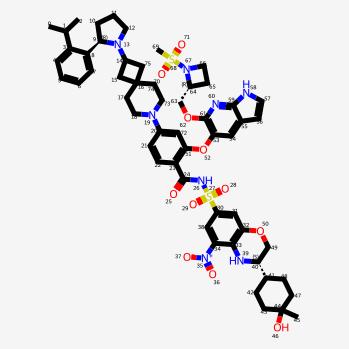 CC(C)c1ccccc1[C@H]1CCCN1C1CC2(CCN(c3ccc(C(=O)NS(=O)(=O)c4cc5c(c([N+](=O)[O-])c4)N[C@@H](C4CCC(C)(O)CC4)CO5)c(Oc4cc5cc[nH]c5nc4OC[C@H]4CCN4S(C)(=O)=O)c3)CC2)C1